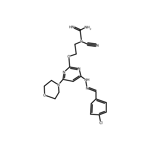 N#CN(CCOc1nc(NN=Cc2ccc(Cl)cc2)cc(N2CCOCC2)n1)C(=N)N